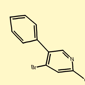 Clc1cc(Br)c(-c2ccccc2)cn1